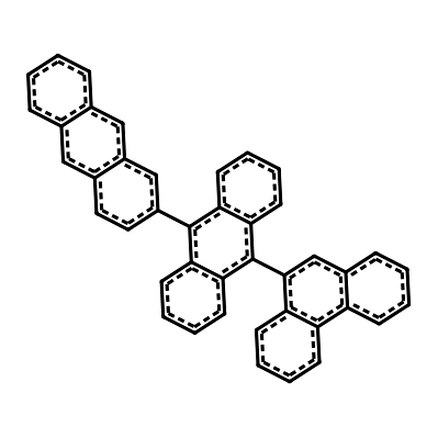 c1ccc2cc3cc(-c4c5ccccc5c(-c5cc6ccccc6c6ccccc56)c5ccccc45)ccc3cc2c1